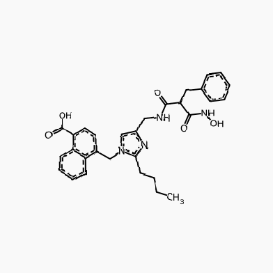 CCCCc1nc(CNC(=O)C(Cc2ccccc2)C(=O)NO)cn1Cc1ccc(C(=O)O)c2ccccc12